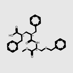 COC(=O)[C@H](CSCc1ccccc1)NC(=O)[C@H](Cc1ccccc1)C[C@@H](Cc1ccccc1)C(=O)O